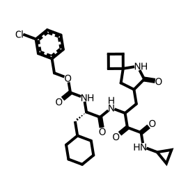 O=C(N[C@@H](CC1CCCCC1)C(=O)NC(CC1CC2(CCC2)NC1=O)C(=O)C(=O)NC1CC1)OCc1cccc(Cl)c1